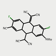 CNC1=CC2C(C=C1F)C(=C(C#N)C#N)C1C=C(F)C(C#N)=CC1C2C(C#N)C#N